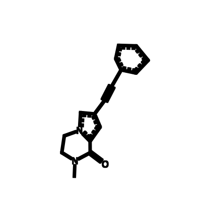 CN1CCn2cc(C#Cc3ccccc3)cc2C1=O